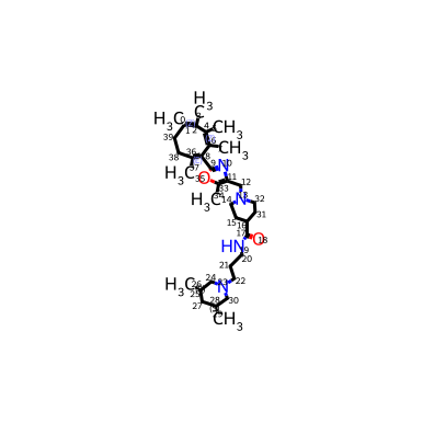 C/C1=C(C)/C(C)=C(C)\C(c2nc(CN3CCC(C(=O)NCCCN4C[C@H](C)C[C@H](C)C4)CC3)c(C)o2)=C(\C)CC1